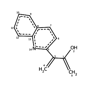 C=C(O)C(=C)c1ccc2ccccc2n1